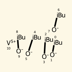 CCC(C)[O-].CCC(C)[O-].CCC(C)[O-].CCC(C)[O-].CCC(C)[O-].[V+5]